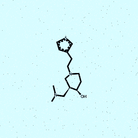 CN(C)C[C@H]1CN(CCc2ccsc2)CC[C@H]1O